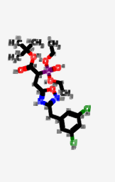 CCOP(=O)(OCC)C(Cc1nc(Cc2cc(Cl)cc(Cl)c2)no1)C(=O)OC(C)(C)C